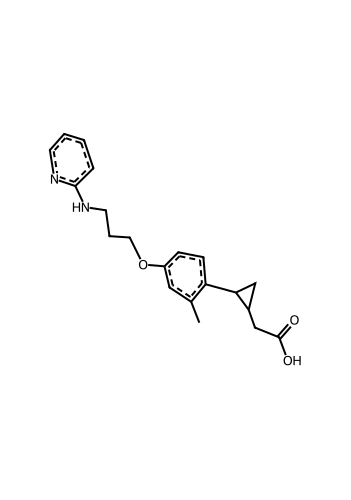 Cc1cc(OCCCNc2ccccn2)ccc1C1CC1CC(=O)O